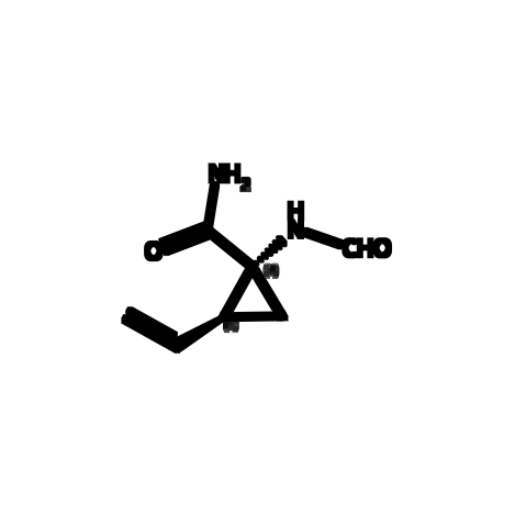 C=C[C@@H]1C[C@]1(NC=O)C(N)=O